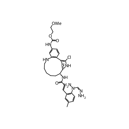 COCCOC(=O)Nc1ccc2c(c1)NCCCCC[C@H](NC(=O)/C=C/c1cc(C)ccc1N(N)/C=N\N)c1nc-2c(Cl)[nH]1